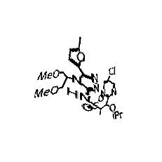 COCC(COC)n1c(NS(=O)(=O)C(C)C(OC(C)C)c2ncc(Cl)cn2)nnc1-c1ccc(C)o1